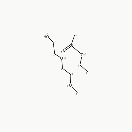 CCOC(C)=O.COCCOCCO